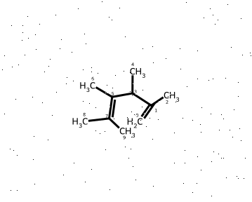 C=C(C)[C](C)C(C)=C(C)C